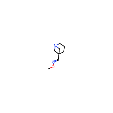 CON=CC12CCCN(C1)C2